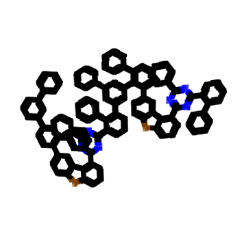 c1ccc(-c2cccc(-c3ccc(-c4ccc5sc6cccc(-c7nc(-c8ccccc8)nc(-c8cccc(-c9cc(-c%10ccccc%10)cc(-c%10c(-c%11ccccc%11)cccc%10-c%10ccc%11sc%12cccc(-c%13nc(-c%14ccccc%14)nc(-c%14ccccc%14-c%14ccccc%14)n%13)c%12c%11c%10)c9)c8-c8ccccc8)n7)c6c5c4)c(-c4ccccc4)c3)c2)cc1